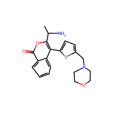 CC(N)c1oc(=O)c2ccccc2c1-c1ccc(CN2CCOCC2)s1